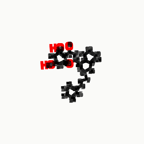 O=c1cc(C2=CC(CCCc3ccccc3)Cc3ccccc32)oc2cc(O)cc(O)c12